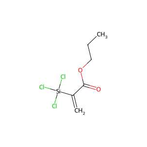 C=C(C(=O)OCCC)[Si](Cl)(Cl)Cl